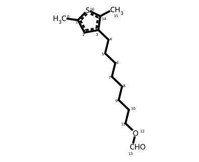 Cc1cc(CCCCCCCCOC=O)c(C)s1